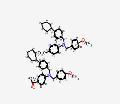 COC(=O)c1ccc(N(Cc2ccc(OC(F)(F)F)cc2)Cc2ccc(C3CCCCC3)cc2)cc1.O=C(O)c1ccc(N(Cc2ccc(OC(F)(F)F)cc2)Cc2ccc(C3CCCCC3)cc2)cc1